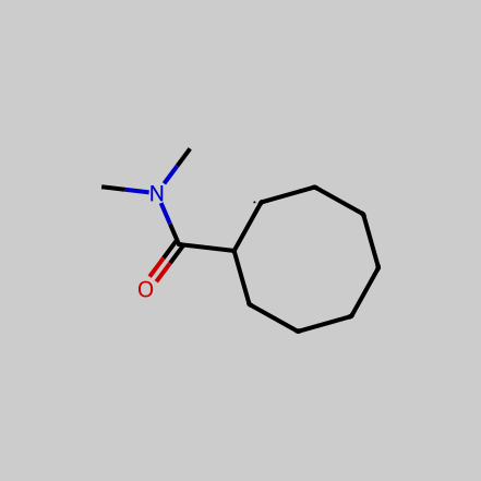 CN(C)C(=O)C1[CH]CCCCCC1